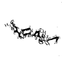 Cc1cc(Nc2nccn3c(-c4cnn(C)c4)cnc23)sc1S(=O)(=O)NCC1CC1